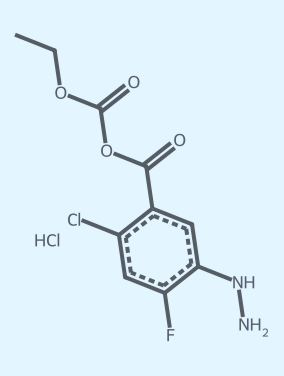 CCOC(=O)OC(=O)c1cc(NN)c(F)cc1Cl.Cl